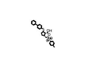 Cc1ccc(S(=O)(=O)OC[C@H]2CC[C@@H](Sc3ccc(-c4ccccc4)cc3)[C@@H]2C(=O)O)cc1